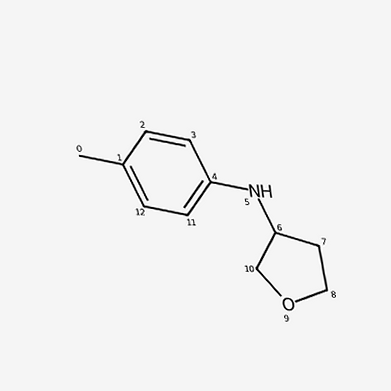 Cc1ccc(NC2CCOC2)cc1